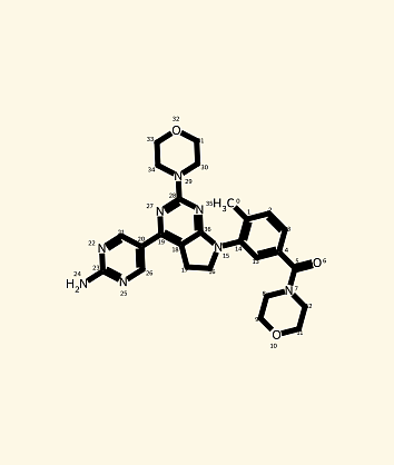 Cc1ccc(C(=O)N2CCOCC2)cc1N1CCc2c(-c3cnc(N)nc3)nc(N3CCOCC3)nc21